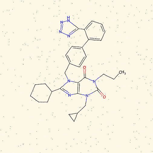 CCCn1c(=O)c2c(nc(C3CCCCC3)n2Cc2ccc(-c3ccccc3-c3nnn[nH]3)cc2)n(CC2CC2)c1=O